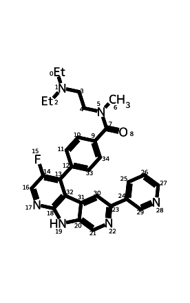 CCN(CC)CCN(C)C(=O)c1ccc(-c2c(F)cnc3[nH]c4cnc(-c5cccnc5)cc4c23)cc1